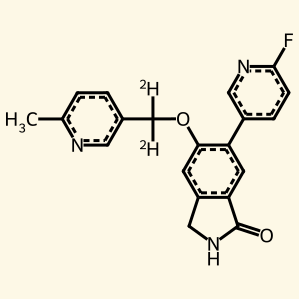 [2H]C([2H])(Oc1cc2c(cc1-c1ccc(F)nc1)C(=O)NC2)c1ccc(C)nc1